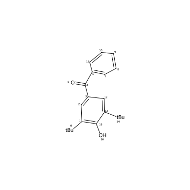 CC(C)(C)c1cc(C(=O)c2ccccc2)cc(C(C)(C)C)c1O